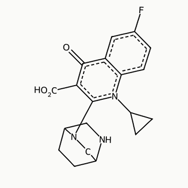 O=C(O)c1c(N2CC3CCC2CN3)n(C2CC2)c2ccc(F)cc2c1=O